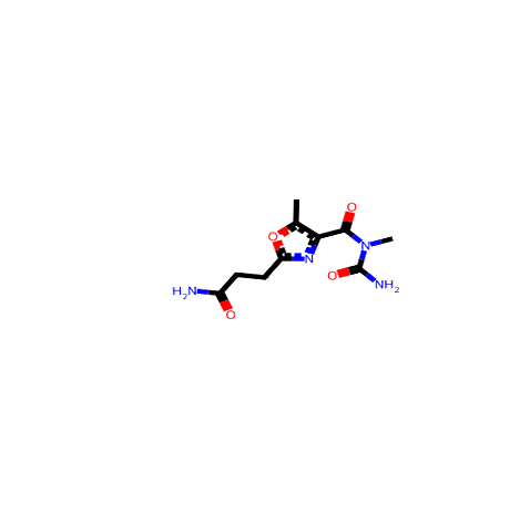 Cc1oc([CH]CC(N)=O)nc1C(=O)N(C)C(N)=O